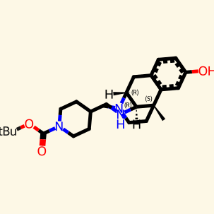 CN1CC[C@@]2(C)c3cc(O)ccc3C[C@@H]1[C@@H]2NCC1CCN(C(=O)OC(C)(C)C)CC1